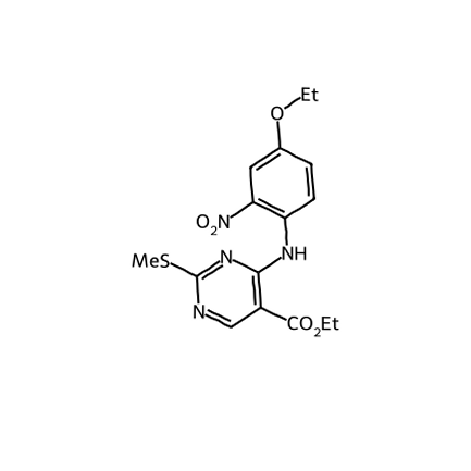 CCOC(=O)c1cnc(SC)nc1Nc1ccc(OCC)cc1[N+](=O)[O-]